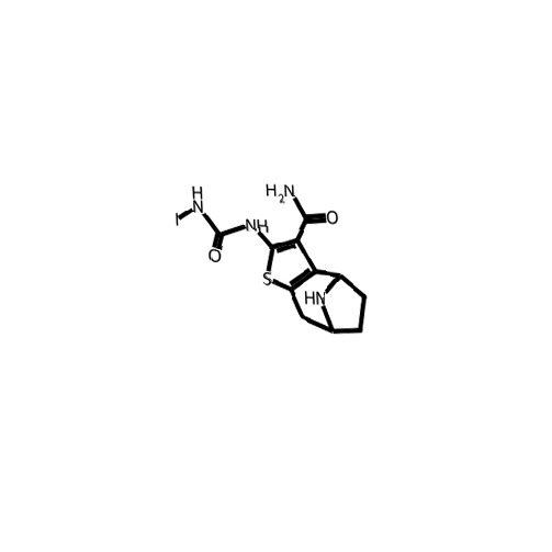 NC(=O)c1c(NC(=O)NI)sc2c1C1CCC(C2)N1